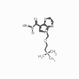 CC(C)(C)N(Br)C(=O)c1cn(COCC[Si](C)(C)C)c2nccnc12